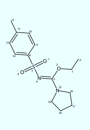 CCOC(=NS(=O)(=O)c1ccc(C)cc1)N1CCCC1